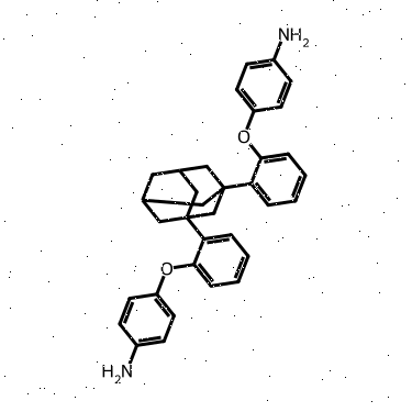 Nc1ccc(Oc2ccccc2C23CC4CC(C2)CC(c2ccccc2Oc2ccc(N)cc2)(C4)C3)cc1